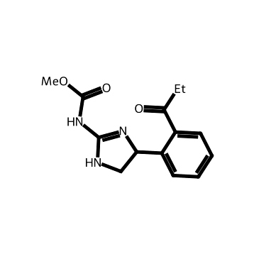 CCC(=O)c1ccccc1C1CNC(NC(=O)OC)=N1